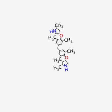 Cc1cc(Cc2cc(C)c(O[C@@H]3CN[C@H](C)C3)c(C)c2)cc(C)c1O[C@@H]1CN[C@H](C)C1